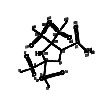 CS(=O)(=O)C1(S(C)(=O)=O)CC(C(N)=O)C(S(C)(=O)=O)(S(C)(=O)=O)N1